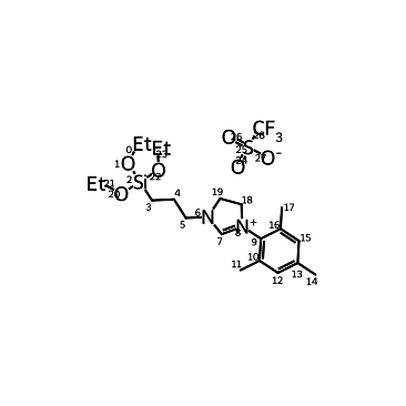 CCO[Si](CCCN1C=[N+](c2c(C)cc(C)cc2C)CC1)(OCC)OCC.O=S(=O)([O-])C(F)(F)F